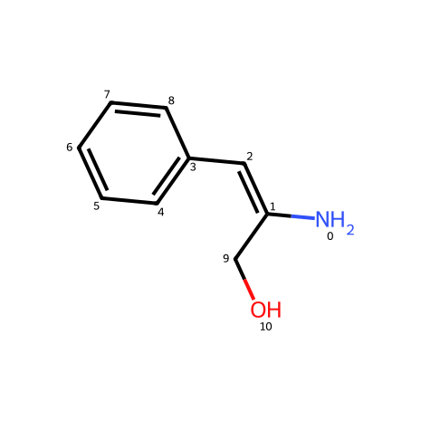 N/C(=C/c1ccccc1)CO